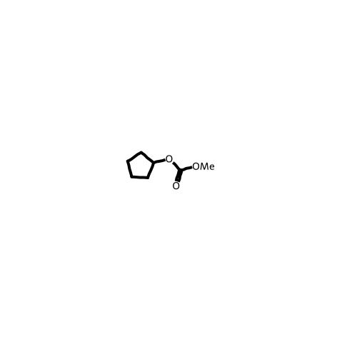 [CH2]OC(=O)OC1CCCC1